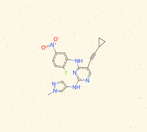 Cn1cc(Nc2ncc(C#CC3CC3)c(Nc3cc([N+](=O)[O-])ccc3F)n2)cn1